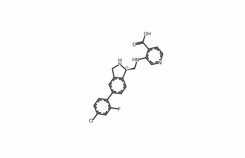 O=C(O)c1ccncc1NC[C@@H]1NCc2cc(-c3ccc(Cl)cc3F)ccc21